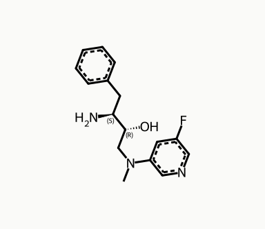 CN(C[C@@H](O)[C@@H](N)Cc1ccccc1)c1cncc(F)c1